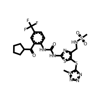 Cn1nnnc1Sc1sc(NC(=O)Nc2ccc(C(F)(F)F)cc2C(=O)C2CCCC2)nc1CNS(C)(=O)=O